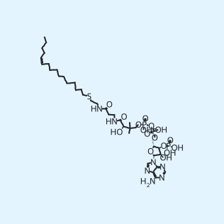 CCCC/C=C\CCCCCCCCCCSCCNC(=O)CCNC(=O)[C@H](O)C(C)(C)COP(=O)(O)OP(=O)(O)OC[C@H]1O[C@@H](n2cnc3c(N)ncnc32)[C@H](O)[C@@H]1OP(=O)(O)O